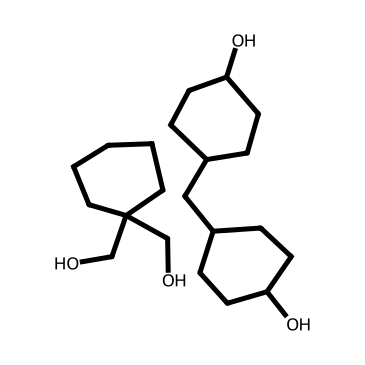 OC1CCC(CC2CCC(O)CC2)CC1.OCC1(CO)CCCCC1